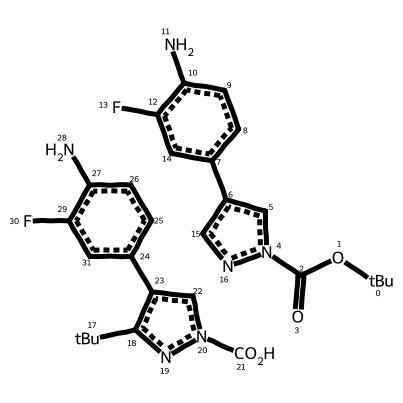 CC(C)(C)OC(=O)n1cc(-c2ccc(N)c(F)c2)cn1.CC(C)(C)c1nn(C(=O)O)cc1-c1ccc(N)c(F)c1